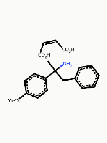 COc1ccc(C(C)(N)Cc2ccccc2)cc1.O=C(O)/C=C\C(=O)O